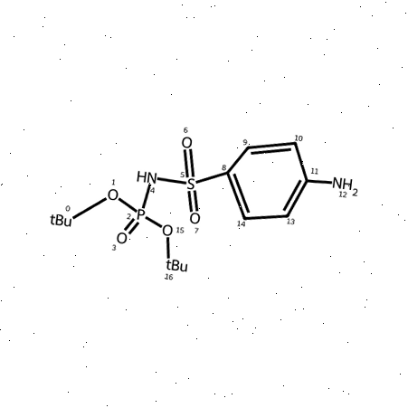 CC(C)(C)OP(=O)(NS(=O)(=O)c1ccc(N)cc1)OC(C)(C)C